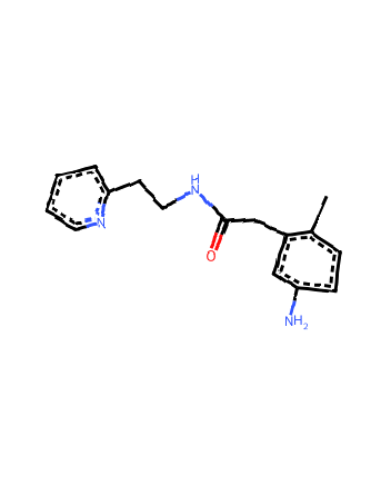 Cc1ccc(N)cc1CC(=O)NCCc1ccccn1